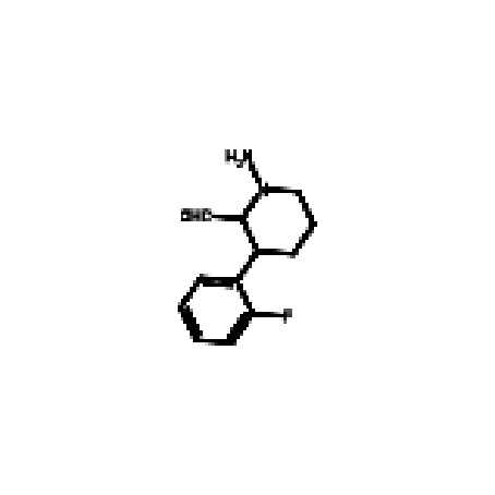 NN1CCCC(c2ccccc2F)C1C=O